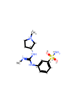 CN1CC[C@@H](N/C(=N/C#N)Nc2cccc(S(N)(=O)=O)c2)C1